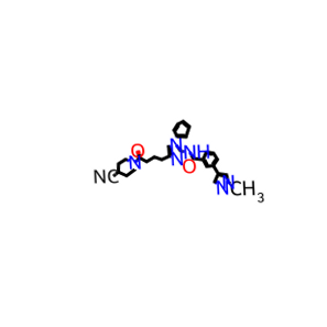 Cn1cc(-c2cccc(C(=O)Nc3nc(CCCC(=O)N4CCC(C#N)CC4)cn3-c3ccccc3)c2)cn1